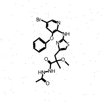 COC(C)(Cc1csc(Nc2ncc(Br)cc2Oc2ccccc2)n1)C(=O)NNC(C)=O